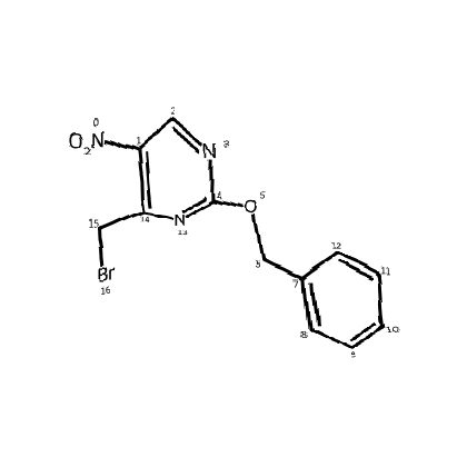 O=[N+]([O-])c1cnc(OCc2ccccc2)nc1CBr